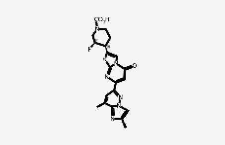 Cc1cn2nc(-c3cc(=O)n4cc([C@@H]5CCN(C(=O)O)C[C@@H]5F)sc4n3)cc(C)c2n1